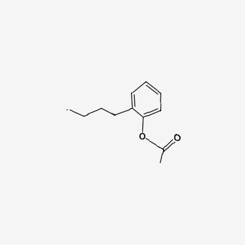 [CH2]CCCc1ccccc1OC(C)=O